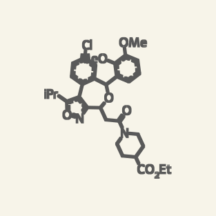 CCOC(=O)C1CCN(C(=O)CC2OC(c3cccc(OC)c3OC)c3cc(Cl)ccc3-c3c2noc3C(C)C)CC1